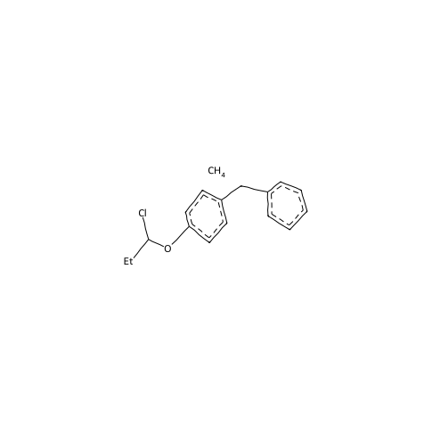 C.CCC(Cl)Oc1ccc(Cc2ccccc2)cc1